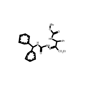 CCCC(NC(=O)OC(C)(C)C)/C(=N\NC(=O)NC(c1ccccc1)c1ccccc1)C(=O)OCC